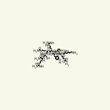 N=C(N)NCCC[C@H](NC(=O)[C@H](CS)NC(=O)[C@H](CCCNC(N)=O)NC(=O)[C@H](CCCNC(=N)N)NC(=O)[C@H](Cc1ccc(O)cc1)NC(=O)[C@@H]1CCCN1C(=O)[C@@H](CCCNC(N)=O)NC(=O)[C@@H](N)CCCCN)C(N)=O